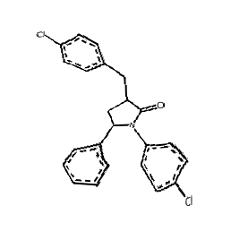 O=C1C(Cc2ccc(Cl)cc2)CC(c2ccccc2)N1c1ccc(Cl)cc1